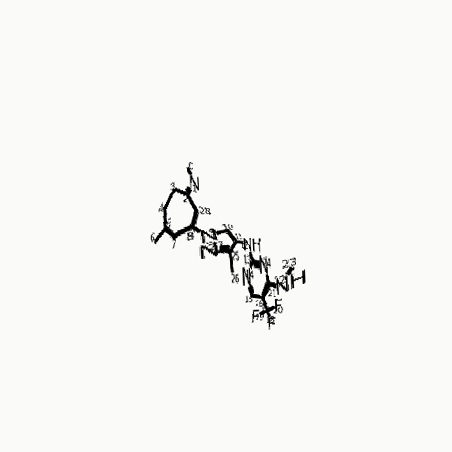 C/N=C1\CCC(C)CC(n2cc(Nc3ncc(C(F)(F)F)c(NC)n3)c(C)n2)C1